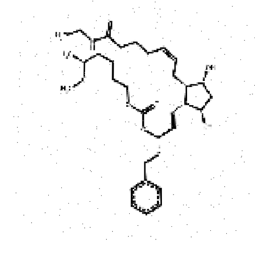 CCNC(=O)CCC/C=C\C[C@@H]1[C@@H](/C=C/[C@H](CCc2ccccc2)OC(=O)OCCCC[C@H](C)OC)[C@H](O)C[C@@H]1O